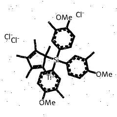 COc1ccc([Si](c2ccc(OC)c(C)c2)(c2ccc(OC)c(C)c2)C2(C)C(C)=C(C)C(C)=[C]2[Ti+3])cc1C.[Cl-].[Cl-].[Cl-]